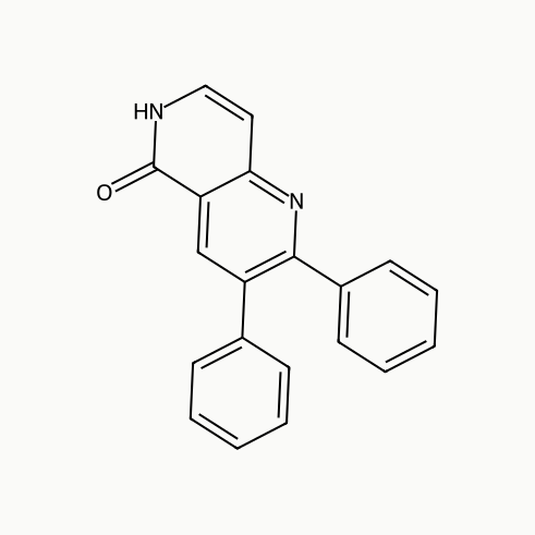 O=c1[nH]ccc2nc(-c3ccccc3)c(-c3ccccc3)cc12